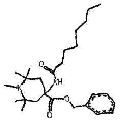 CCCCCCCC(=O)NC1(C(=O)OCc2ccccc2)CC(C)(C)N(C)C(C)(C)C1